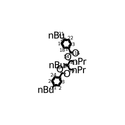 CCCCc1ccc(C(=O)OC(CCC)C(CCCC)C(CCC)OC(=O)c2ccc(CCCC)cc2)cc1